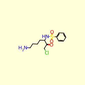 NCCCCC(NS(=O)(=O)c1ccccc1)C(=O)CCl